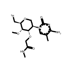 [2H]C[C@H]1OC[C@@H](n2cc(C)c(N)nc2=O)[C@H](OCC(=O)NC)[C@@H]1OC